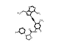 CCn1cc(C#Cc2cc(NC(=O)N3OCC[C@@H]3c3cccc(F)c3)c(F)cc2C)c2c(N)ncnc21